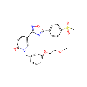 COCCOc1cccc(Cn2cc(-c3noc(-c4ccc(S(C)(=O)=O)cc4)n3)ccc2=O)c1